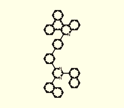 c1cc(-c2ccc(-c3nc4ccccc4c4c5ccccc5c5ccccc5c34)cc2)cc(-c2cc(-c3cccc4ccccc34)nc(-c3cccc4ccccc34)n2)c1